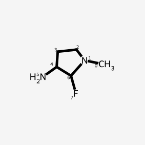 CN1CCC(N)C1F